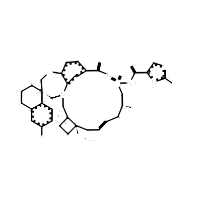 CO[C@H]1/C=C/C[C@H](C)CS(=O)(NC(=O)c2csc(C)n2)=NC(=O)c2ccc3c(c2)N(C[C@@H]2CC[C@H]21)C[C@@]1(CCCc2cc(Cl)ccc21)CO3